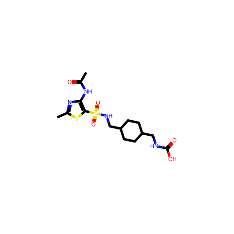 CC(=O)Nc1nc(C)sc1S(=O)(=O)NCC1CCC(CNC(=O)O)CC1